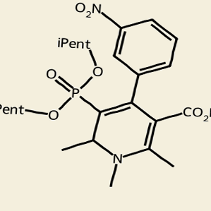 CCCC(C)OP(=O)(OC(C)CCC)C1=C(c2cccc([N+](=O)[O-])c2)C(C(=O)O)=C(C)N(C)C1C